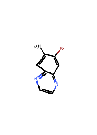 O=[N+]([O-])c1cc2nccnc2cc1Br